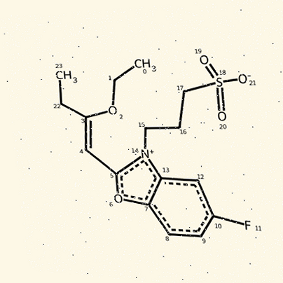 CCOC(=Cc1oc2ccc(F)cc2[n+]1CCCS(=O)(=O)[O-])CC